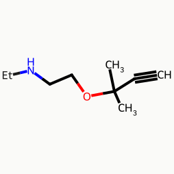 C#CC(C)(C)OCCNCC